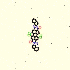 O=c1c2cc(Cl)c3c4c(Cl)cc5c6c(cc(Cl)c(c7c(Cl)cc(c2c37)c2nc3c7ccccc7ccc3n12)c46)c(=O)n1c2ccc3ccccc3c2nc51